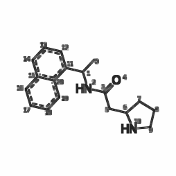 CC(NC(=O)CC1CCCN1)c1cccc2ccccc12